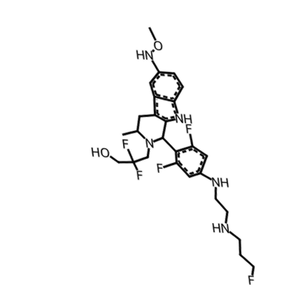 CONc1ccc2[nH]c3c(c2c1)CC(C)N(CC(F)(F)CO)C3c1c(F)cc(NCCNCCCF)cc1F